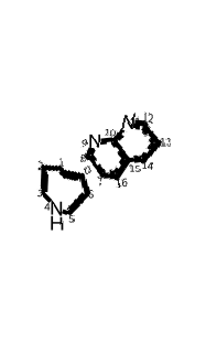 C1=CC=CNC=C1.c1cnc2ncccc2c1